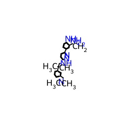 C=C(N)c1cc(-c2ccc(NCC(C)(C)c3cccc(CN(C)C)c3)nn2)ccc1N